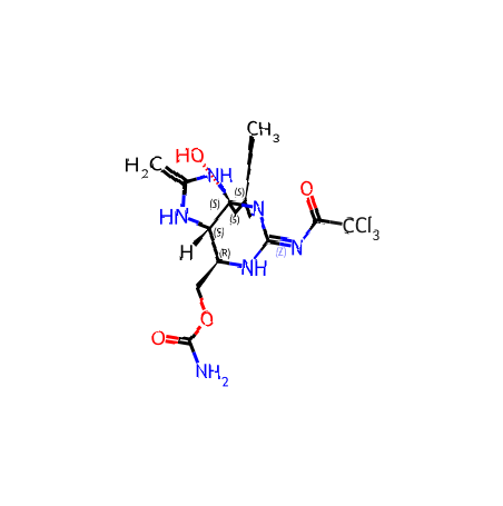 C=C1N[C@H]2[C@H](COC(N)=O)N/C(=N/C(=O)C(Cl)(Cl)Cl)N3C[C@H](C)[C@H](O)[C@]23N1